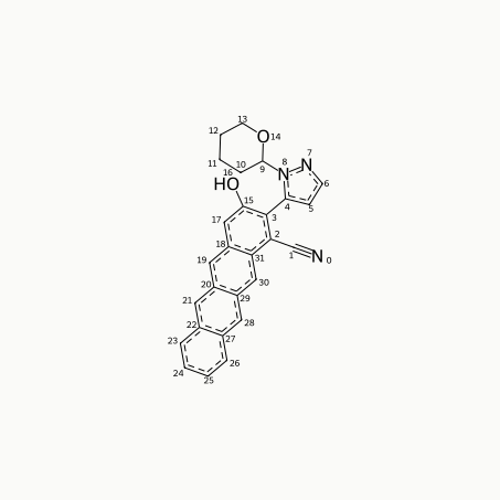 N#Cc1c(-c2ccnn2C2CCCCO2)c(O)cc2cc3cc4ccccc4cc3cc12